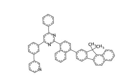 CC1(C)c2cc(-c3ccc(-c4nc(-c5ccccc5)cc(-c5cccc(-c6cccnc6)c5)n4)c4ccccc34)ccc2-c2ccc3ccccc3c21